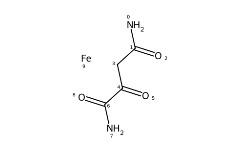 NC(=O)CC(=O)C(N)=O.[Fe]